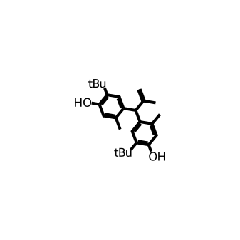 C=C(C)C(c1cc(C(C)(C)C)c(O)cc1C)c1cc(C(C)(C)C)c(O)cc1C